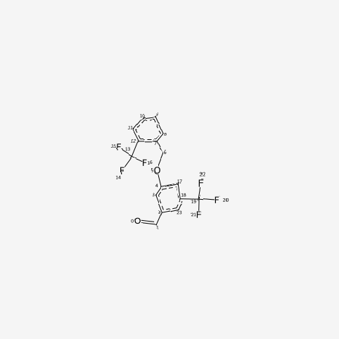 O=Cc1cc(OCc2ccccc2C(F)(F)F)cc(C(F)(F)F)c1